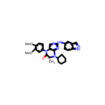 COc1ccc(N2C(=O)[C@@H](C)N(C3CCCCC3)c3nc(Nc4ccc5[nH]ncc5c4)ncc32)cc1OC